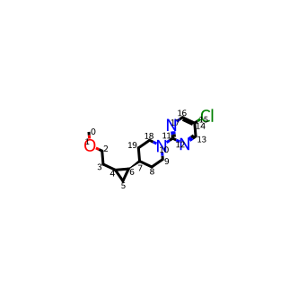 COCCC1C[C@@H]1C1CCN(c2ncc(Cl)cn2)CC1